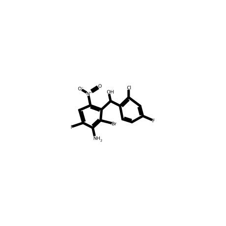 Nc1c(I)cc([N+](=O)[O-])c(C(O)c2ccc(F)cc2Cl)c1Br